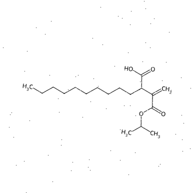 C=C(C(=O)OC(C)C)C(CCCCCCCCCC)C(=O)O